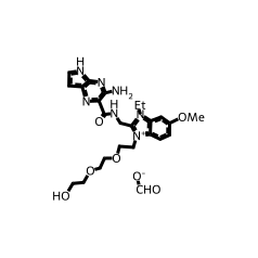 CCn1c(CNC(=O)c2nc3cc[nH]c3nc2N)[n+](CCOCCOCCO)c2ccc(OC)cc21.O=C[O-]